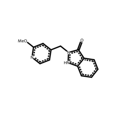 COc1cc(Cn2[nH]c3ccccc3c2=O)ccn1